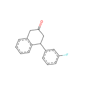 O=C1Cc2ccccc2C(c2cccc(F)c2)C1